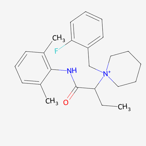 CCC(C(=O)Nc1c(C)cccc1C)[N+]1(Cc2ccccc2F)CCCCC1